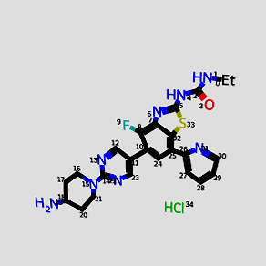 CCNC(=O)Nc1nc2c(F)c(-c3cnc(N4CCC(N)CC4)nc3)cc(-c3ccccn3)c2s1.Cl